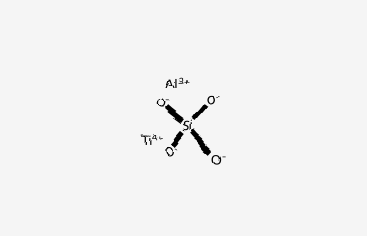 [Al+3].[O-][Si]([O-])([O-])[O-].[Ti+4]